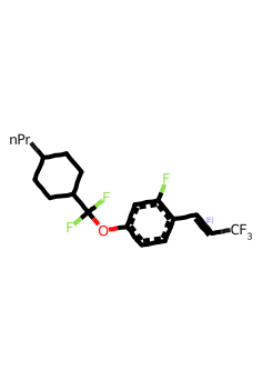 CCCC1CCC(C(F)(F)Oc2ccc(/C=C/C(F)(F)F)c(F)c2)CC1